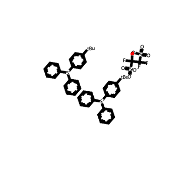 CC(C)(C)c1ccc([S+](c2ccccc2)c2ccccc2)cc1.CC(C)(C)c1ccc([S+](c2ccccc2)c2ccccc2)cc1.O=S(=O)([O-])C(F)(F)C(F)(F)S(=O)(=O)[O-]